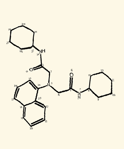 O=C(CN(CC(=O)NC1CCCCC1)c1cccc2ccccc12)NC1CCCCC1